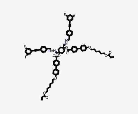 C=CC(=O)OCCCCCCOc1ccc(-c2ccc(C(=O)OC3(/C=N/N=C/c4ccc(C#Cc5cc(F)cc(F)c5)cc4)CCC(/C=N/N=C/c4ccc(C#Cc5cc(F)cc(F)c5)cc4)(OC(=O)c4ccc(-c5ccc(OCCCCCCOC(=O)C=C)cc5)cc4)CC3)cc2)cc1